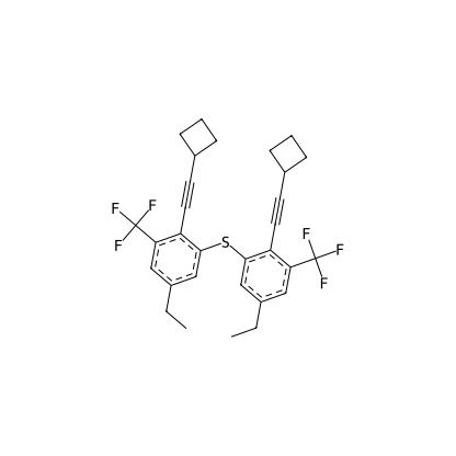 CCc1cc(Sc2cc(CC)cc(C(F)(F)F)c2C#CC2CCC2)c(C#CC2CCC2)c(C(F)(F)F)c1